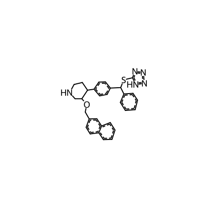 c1ccc(C(Sc2nnn[nH]2)c2ccc(C3CCNCC3OCc3ccc4ccccc4c3)cc2)cc1